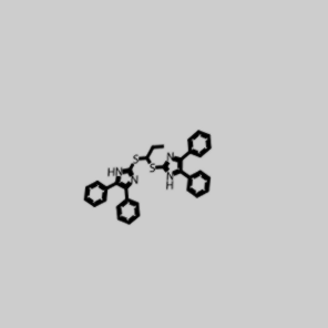 CCC(Sc1nc(-c2ccccc2)c(-c2ccccc2)[nH]1)Sc1nc(-c2ccccc2)c(-c2ccccc2)[nH]1